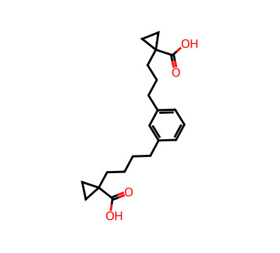 O=C(O)C1(CCCCc2cccc(CCCC3(C(=O)O)CC3)c2)CC1